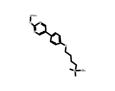 CCCCCCOc1ncc(-c2ccc(OCCCC[Si](C)(C)CCCC)cc2)cn1